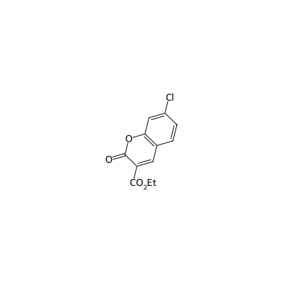 CCOC(=O)c1cc2ccc(Cl)cc2oc1=O